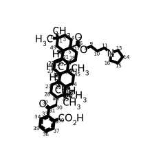 CC1(C)CC[C@]2(C(=O)OCCCN3CCCC3)CC[C@]3(C)C(=CC[C@@H]4[C@@]5(C)CC[C@H](CC(=O)c6ccccc6C(=O)O)C(C)(C)[C@@H]5CC[C@]43C)[C@@H]2C1